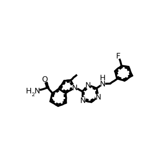 Cc1cc2c(C(N)=O)cccc2n1-c1ncnc(NCc2cccc(F)c2)n1